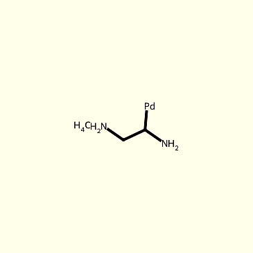 C.NC[CH](N)[Pd]